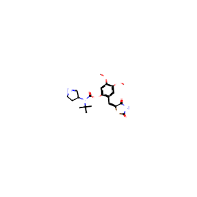 COc1cc(C=C2SC(=O)NC2=O)c(OC(=O)N(C2CCNC2)C(C)(C)C)cc1OC